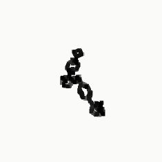 Cn1nccc1-c1ccc(SN2CCN=C2N2CCN(C3CCC3)CC2)cc1